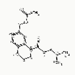 CC(=O)OCc1cc2c(cn1)OCCN2C(=O)OCC(C)C